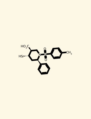 Cc1ccc(S(=O)(=O)N2C[C@H](C(=O)O)[C@@H]([SrH])C[C@@H]2c2ccccc2)cc1